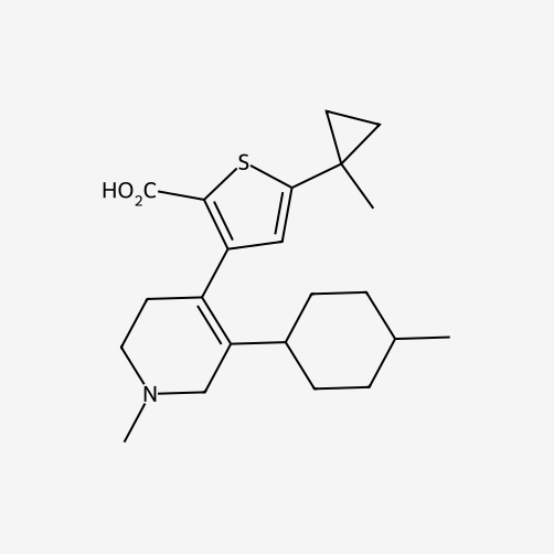 CC1CCC(C2=C(c3cc(C4(C)CC4)sc3C(=O)O)CCN(C)C2)CC1